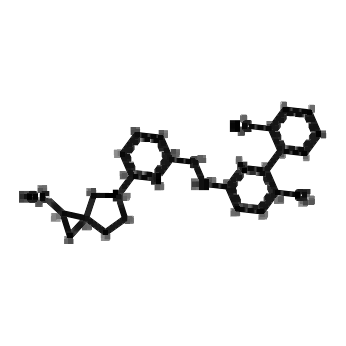 Cc1ccccc1-c1nc(NSc2cccc(N3CCC4(CC4C(=O)O)C3)n2)ccc1C(F)(F)F